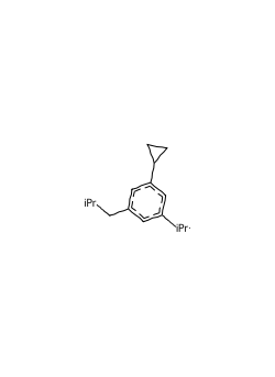 C[C](C)c1cc(CC(C)C)cc(C2CC2)c1